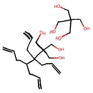 C=CCC(CC=C)C(CC=C)(CC=C)C(CO)(CO)CO.OCC(CO)(CO)CO